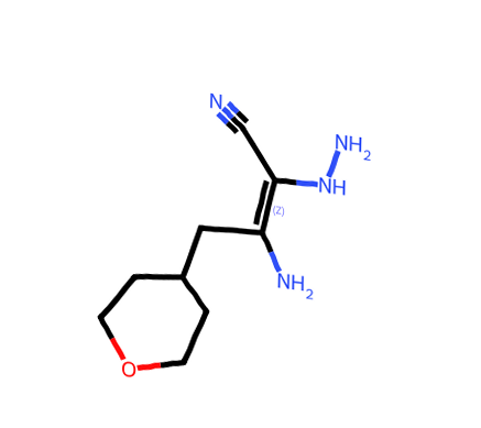 N#C/C(NN)=C(/N)CC1CCOCC1